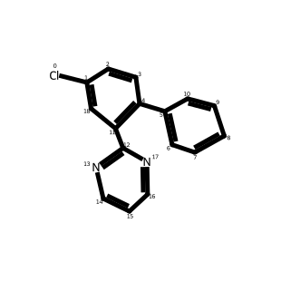 Clc1ccc(-c2ccccc2)c(-c2ncccn2)c1